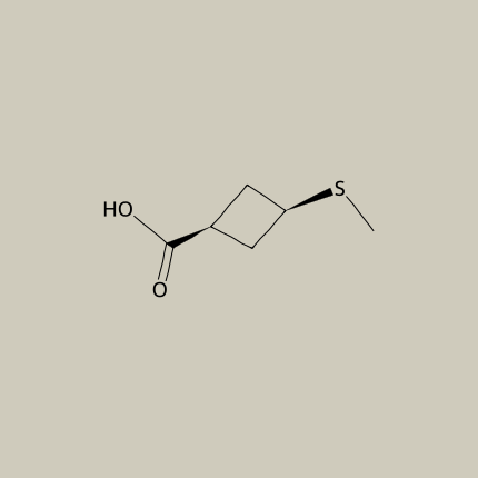 CS[C@H]1C[C@@H](C(=O)O)C1